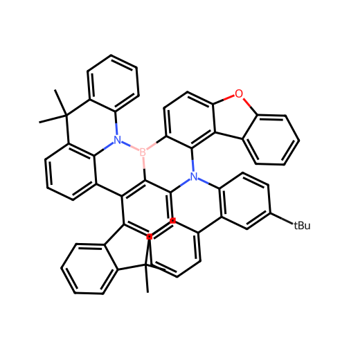 CC(C)(C)c1ccc(N2c3cc4c(c5c3B(c3ccc6oc7ccccc7c6c32)N2c3ccccc3C(C)(C)c3cccc-5c32)-c2ccccc2C4(C)C)c(-c2ccccc2)c1